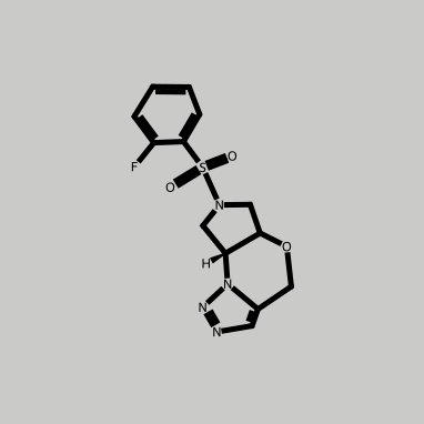 O=S(=O)(c1ccccc1F)N1CC2OCc3cnnn3[C@@H]2C1